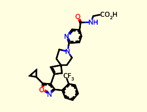 O=C(O)CNC(=O)c1ccc(N2CCC3(C=C(c4c(-c5ccccc5C(F)(F)F)noc4C4CC4)C3)CC2)nc1